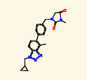 Cc1c(-c2ccc(CN3CC(=O)N(C)C3=O)cc2)ccc2c1nnn2CC1CC1